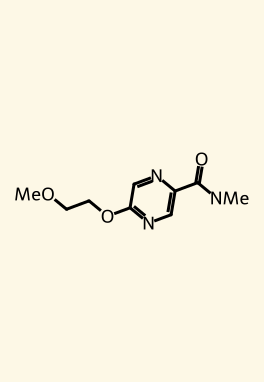 CNC(=O)c1cnc(OCCOC)cn1